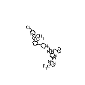 CC1(c2ccc(Cl)cn2)Oc2cccc(C3CCN(Cc4nc5cc(-c6noc(C(F)(F)F)n6)nnc5n4CC4CCO4)CC3)c2O1